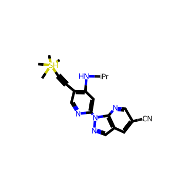 CC(C)Nc1cc(-n2ncc3cc(C#N)cnc32)ncc1C#C[SH](C)(C)(C)C